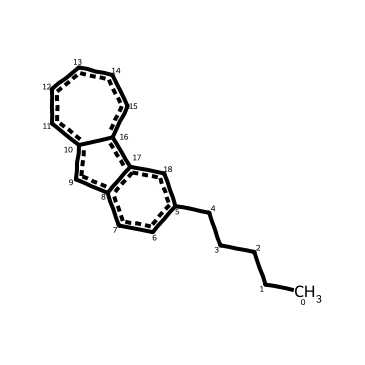 CCCCCc1ccc2cc3cccccc-3c2c1